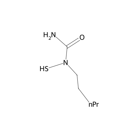 CCCCCN(S)C(N)=O